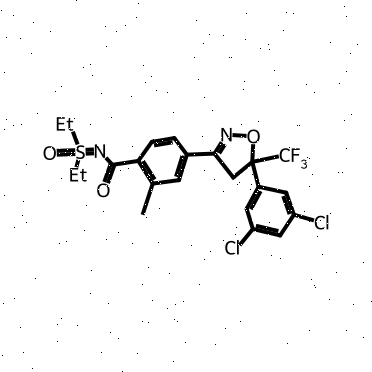 CCS(=O)(CC)=NC(=O)c1ccc(C2=NOC(c3cc(Cl)cc(Cl)c3)(C(F)(F)F)C2)cc1C